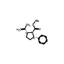 C=C(C)[C@H]1CC[C@@H](c2ccccc2)N1C(=O)OC(C)(C)C